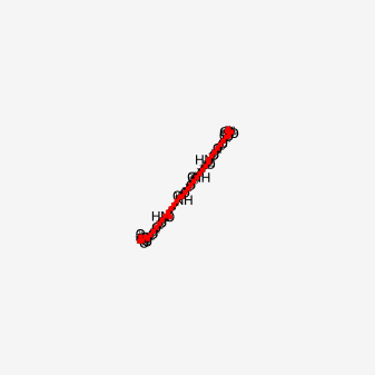 O=C(CCCCCCCNC(=O)CCOCCCOCCC(=O)NCCCCCCCC(=O)NCCOCCOCCOCCC(=O)ON1C(=O)CCC1=O)NCCOCCOCCOCCC(=O)ON1C(=O)CCC1=O